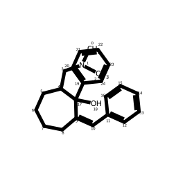 CN(C)CC1CCCC/C(=C/c2ccccc2)C1(O)c1ccccc1